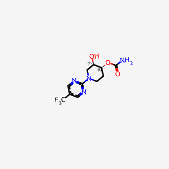 NC(=O)O[C@@H]1CCN(c2ncc(C(F)(F)F)cn2)C[C@H]1O